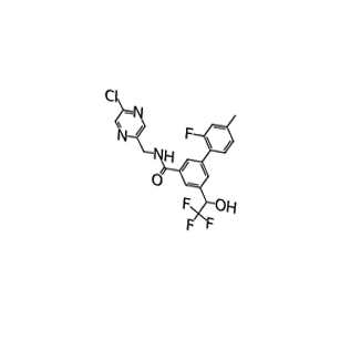 Cc1ccc(-c2cc(C(=O)NCc3cnc(Cl)cn3)cc(C(O)C(F)(F)F)c2)c(F)c1